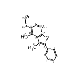 Cc1c(-c2ccccc2)sc2ncc(SC(C)C)c(O)c12